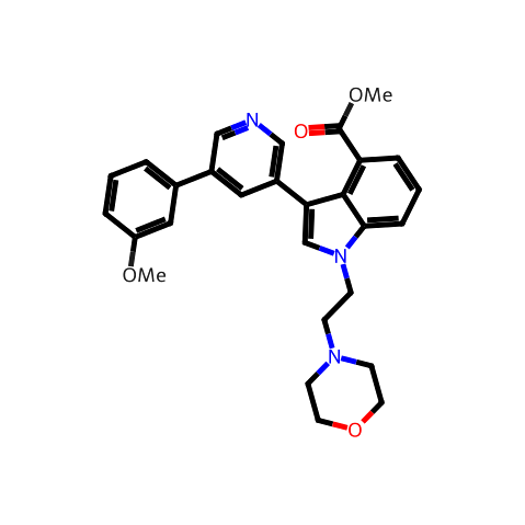 COC(=O)c1cccc2c1c(-c1cncc(-c3cccc(OC)c3)c1)cn2CCN1CCOCC1